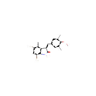 COc1c(C)cc(C=C2C(=O)Nc3c(Br)cc(Br)c(C)c32)cc1C